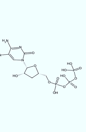 Nc1nc(=O)n([C@@H]2O[C@H](COP(=O)(O)OP(=O)(O)OP(=O)(O)O)C[C@@H]2O)cc1Br